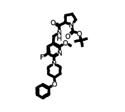 COc1nc(N2CCC(Oc3ccccc3)CC2)c(F)cc1CNC(=O)C1CCCN1C(=O)OC(C)(C)C